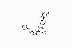 Cc1nc(N2CC3(COC3)CN(c3ccc(-c4cc(F)ccc4F)cc3)C2=O)sc1SCc1ccccc1